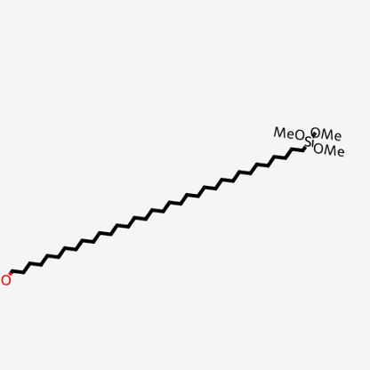 CO[Si](CCCCCCCCCCCCCCCCCCCCCCCCCCCCCCCCCCO)(OC)OC